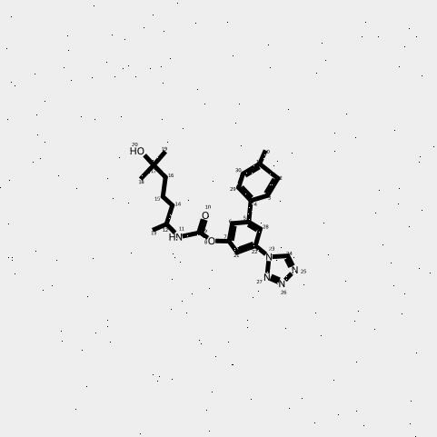 Cc1ccc(-c2cc(OC(=O)NC(C)CCCC(C)(C)O)cc(-n3cnnn3)c2)cc1